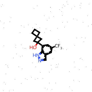 OC1(c2cc(C(F)(F)F)cc3cn[nH]c23)CC2(CCC2)C1